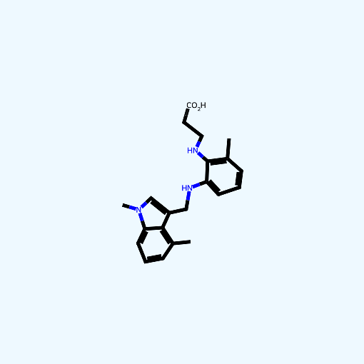 Cc1cccc(NCc2cn(C)c3cccc(C)c23)c1NCCC(=O)O